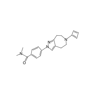 CN(C)C(=O)c1ccc(-n2cc3c(n2)CCN(C2=CC=C2)CC3)cc1